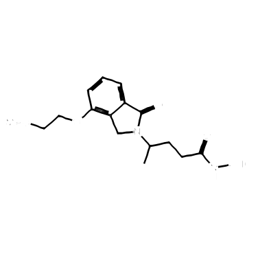 COCCOc1cccc2c1CN(C(C)CCC(=O)NC=O)C2=O